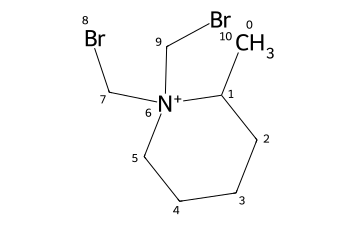 CC1CCCC[N+]1(CBr)CBr